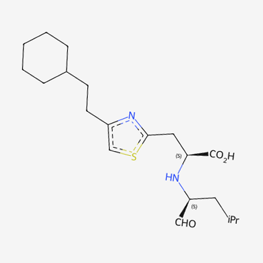 CC(C)C[C@@H](C=O)N[C@@H](Cc1nc(CCC2CCCCC2)cs1)C(=O)O